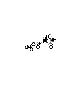 CCc1nn(CCCOC(=O)c2cccc(C(=O)N3CCCCC3)c2)c2c1C(=O)NCC1(CCOCC1)C2